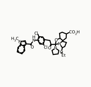 CCOC1CCCN1C(OC1CCC(C(=O)O)CC1)(C(=O)Cc1cc(Cl)c(NC(=O)c2cn(C)c3ccccc23)cc1Cl)N1CCCC1